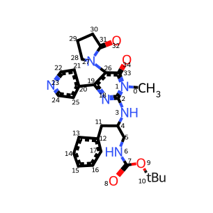 Cn1c(NC(CNC(=O)OC(C)(C)C)Cc2ccccc2)nc(-c2ccncc2)c(N2CCCC2=O)c1=O